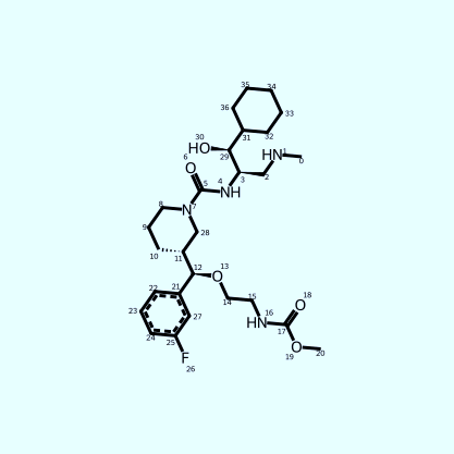 CNC[C@@H](NC(=O)N1CCC[C@@H]([C@@H](OCCNC(=O)OC)c2cccc(F)c2)C1)[C@@H](O)C1CCCCC1